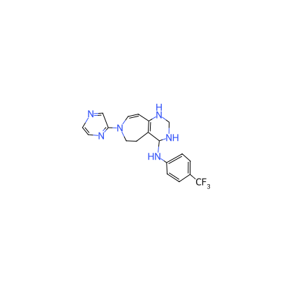 FC(F)(F)c1ccc(NC2NCNC3=C2CCN(c2cnccn2)C=C3)cc1